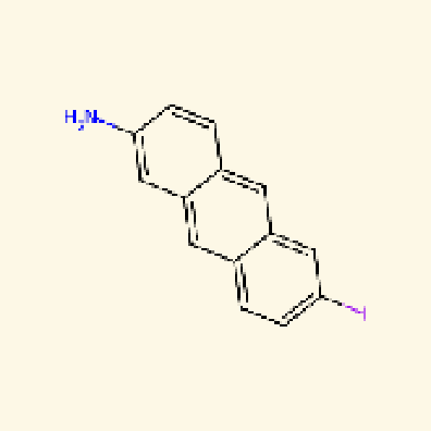 Nc1ccc2cc3cc(I)ccc3cc2c1